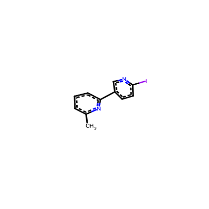 Cc1cccc(-c2ccc(I)nc2)n1